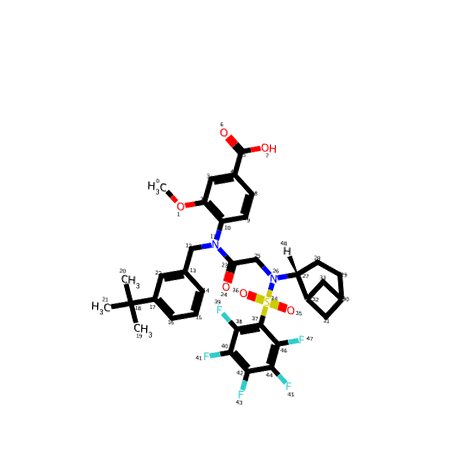 COc1cc(C(=O)O)ccc1N(Cc1cccc(C(C)(C)C)c1)C(=O)CN([C@@H]1CCC2CC1C2)S(=O)(=O)c1c(F)c(F)c(F)c(F)c1F